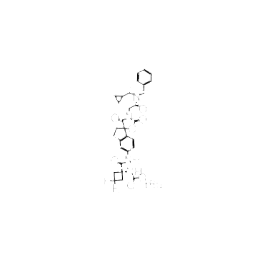 C[C@@H](C1CC1)N(Cc1ccccc1)C(=O)CN1C(=O)OC2(CCc3cc(NC(=O)C4(NC(=O)OC(C)(C)C)CC(F)(F)C4)ccc32)C1=O